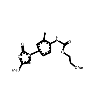 COCCOC(=O)Nc1ccc(-n2nc(OC)oc2=O)cc1C